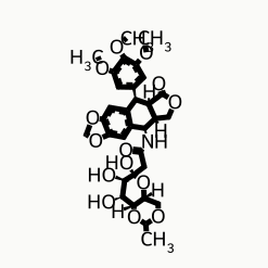 COc1cc([C@@H]2c3cc4c(cc3[C@@H](NC(=O)C[C@]3(O)O[C@@H]5COC(C)O[C@@H]5[C@H](O)[C@H]3O)[C@H]3COC(=O)[C@H]23)OCO4)cc(OC)c1OC